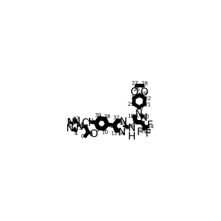 CC(Cn1cnnn1)Oc1cc(-c2cnc(Nc3cn(C4CCC5(CC4)OCCO5)nc3C(F)(F)F)nc2)ccc1Cl